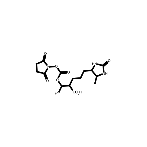 CC(C)C(OC(=O)ON1C(=O)CCC1=O)C(CCCC1NC(=O)NC1C)C(=O)O